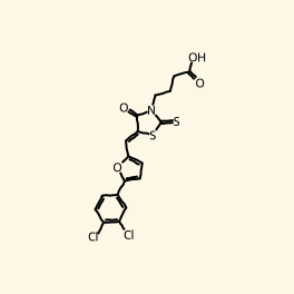 O=C(O)CCCN1C(=O)C(=Cc2ccc(-c3ccc(Cl)c(Cl)c3)o2)SC1=S